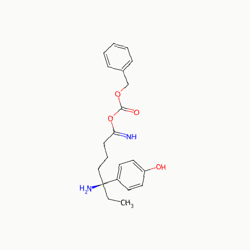 CC[C@](N)(CCCC(=N)OC(=O)OCc1ccccc1)c1ccc(O)cc1